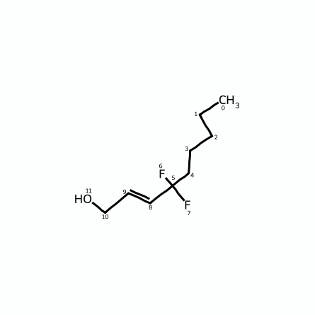 CCCCCC(F)(F)/C=C/CO